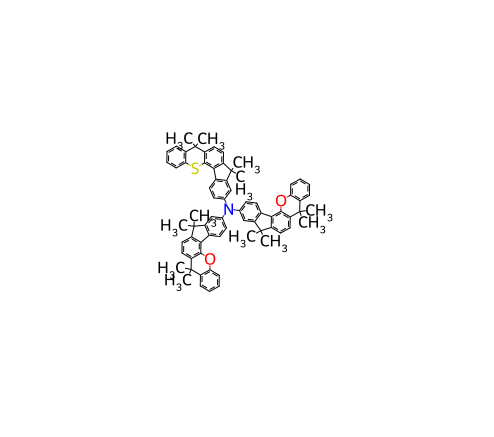 CC1(C)c2ccccc2Oc2c1ccc1c2-c2ccc(N(c3ccc4c(c3)C(C)(C)c3ccc5c(c3-4)Oc3ccccc3C5(C)C)c3ccc4c(c3)C(C)(C)c3ccc5c(c3-4)Sc3ccccc3C5(C)C)cc2C1(C)C